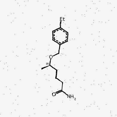 CCc1ccc(CO[C@H](C)CCCC(N)=O)cc1